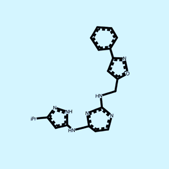 CC(C)c1cc(Nc2ccnc(NCc3cc(-c4ccccc4)no3)n2)[nH]n1